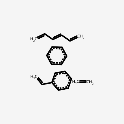 C=C.C=CC=CC=C.C=Cc1ccccc1.c1ccccc1